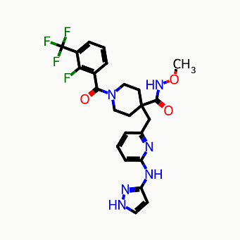 CONC(=O)C1(Cc2cccc(Nc3cc[nH]n3)n2)CCN(C(=O)c2cccc(C(F)(F)F)c2F)CC1